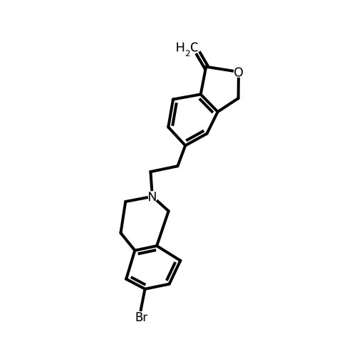 C=C1OCc2cc(CCN3CCc4cc(Br)ccc4C3)ccc21